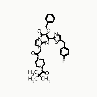 CC(C)(C)C(=O)N1CCN(C(=O)Cn2ccn3c(=O)c(OCc4ccccc4)c(-c4ncc(Cc5ccc(F)cc5)s4)nc23)CC1